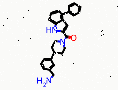 NCc1cccc(C2CCN(C(=O)c3cc4c(-c5ccccc5)cccc4[nH]3)CC2)c1